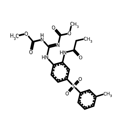 CCC(=O)Nc1cc(S(=O)(=O)c2cccc(C)c2)ccc1NC(=NC(=O)OC)NC(=O)OC